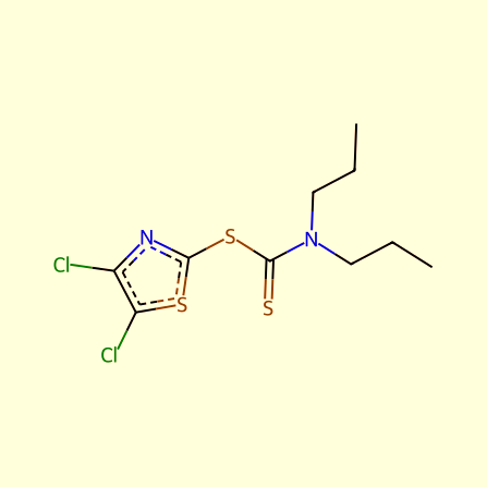 CCCN(CCC)C(=S)Sc1nc(Cl)c(Cl)s1